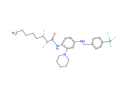 CCCCCC(F)C(F)C(=O)Nc1ccc(NCc2ccc(C(F)(F)F)cc2)cc1N1CCCCC1